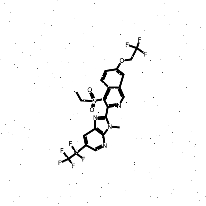 CCS(=O)(=O)c1c(-c2nc3cc(C(F)(F)C(F)(F)F)cnc3n2C)ncc2cc(OCC(F)(F)F)ccc12